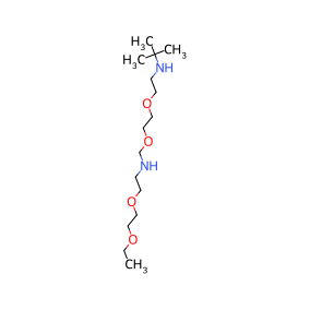 CCOCCOCCNCOCCOCCNC(C)(C)C